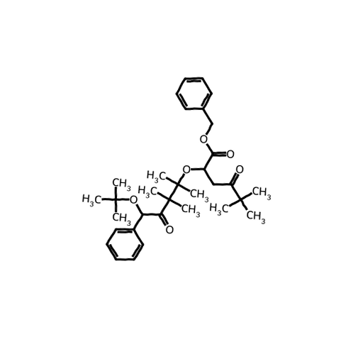 CC(C)(C)OC(C(=O)C(C)(C)C(C)(C)OC(CC(=O)C(C)(C)C)C(=O)OCc1ccccc1)c1ccccc1